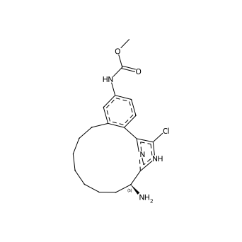 COC(=O)Nc1ccc2c(c1)CCCCCCC[C@H](N)c1nc-2c(Cl)[nH]1